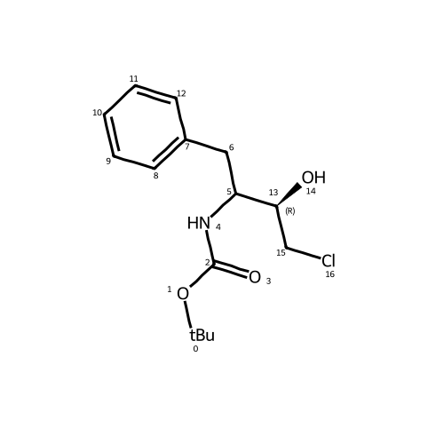 CC(C)(C)OC(=O)NC(Cc1ccccc1)[C@@H](O)CCl